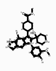 COC(=O)C1CCC(c2c(C3(O)CCOCC3)n(-c3ccc(F)c(OC)c3)c3cc4cn[nH]c4c(F)c23)CC1